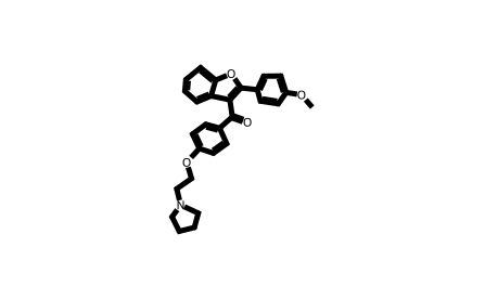 COc1ccc(-c2oc3ccccc3c2C(=O)c2ccc(OCCN3CCCC3)cc2)cc1